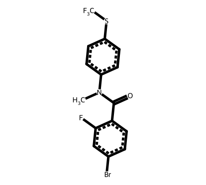 CN(C(=O)c1ccc(Br)cc1F)c1ccc(SC(F)(F)F)cc1